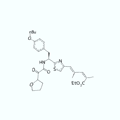 CCCCOc1ccc(C[C@H](NC(=O)C(=O)C2CCCO2)c2nc(/C=C(C)/C=C(/C)C(=O)OCC)cs2)cc1